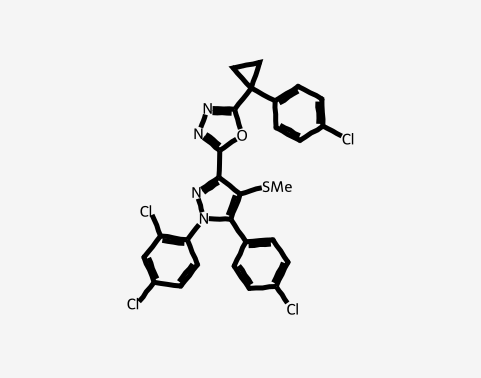 CSc1c(-c2nnc(C3(c4ccc(Cl)cc4)CC3)o2)nn(-c2ccc(Cl)cc2Cl)c1-c1ccc(Cl)cc1